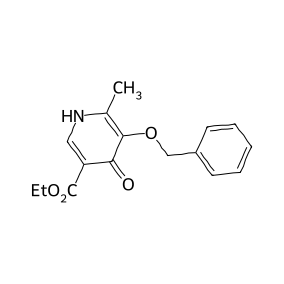 CCOC(=O)c1c[nH]c(C)c(OCc2ccccc2)c1=O